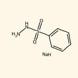 NNS(=O)(=O)c1ccccc1.[NaH]